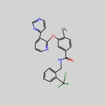 Cc1ccc(C(=O)NCc2ccccc2C(F)(F)F)cc1Oc1ncccc1-c1ccncn1